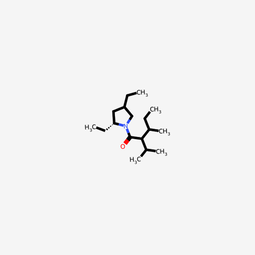 CCC1C[C@@H](CC)N(C(=O)C(C(C)C)C(C)CC)C1